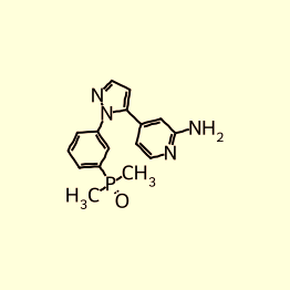 CP(C)(=O)c1cccc(-n2nccc2-c2ccnc(N)c2)c1